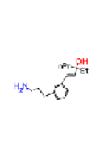 CCCC(O)(C=Cc1cccc(CCCN)c1)CC